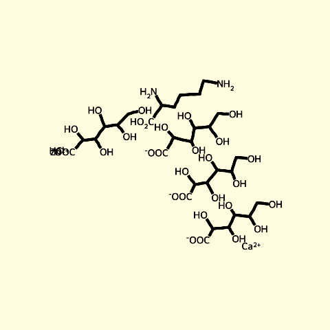 Cl.NCCCCC(N)C(=O)O.O=C([O-])C(O)C(O)C(O)C(O)CO.O=C([O-])C(O)C(O)C(O)C(O)CO.O=C([O-])C(O)C(O)C(O)C(O)CO.O=C([O-])C(O)C(O)C(O)C(O)CO.[Ca+2].[Zn+2]